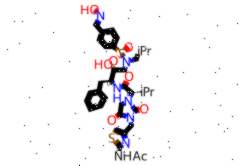 CC(=O)Nc1nc(CN2C(=O)CN([C@H](C(=O)N[C@@H](Cc3ccccc3)[C@H](O)CN(CC(C)C)S(=O)(=O)c3ccc(C=NO)cc3)C(C)C)C2=O)cs1